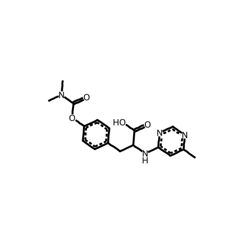 Cc1cc(NC(Cc2ccc(OC(=O)N(C)C)cc2)C(=O)O)ncn1